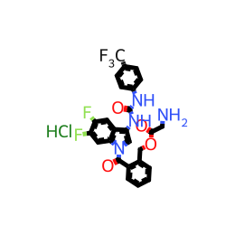 Cl.NCC(=O)OCc1ccccc1C(=O)n1cc(NC(=O)Nc2ccc(C(F)(F)F)cc2)c2cc(F)c(F)cc21